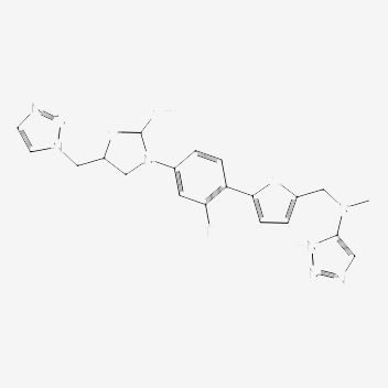 CN(Cc1ccc(-c2ccc(N3CC(Cn4ccnn4)OC3C=O)cc2F)s1)c1cnn[nH]1